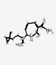 CC1(CCN(CO)C2C=CC=C(C(N)=O)C(F)N2)CC1